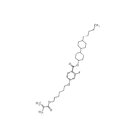 C=C(C)C(=O)OCCCCCCOc1ccc(C(=O)OC2CCC(C3CCC(CCCCC)CC3)CC2)c(F)c1